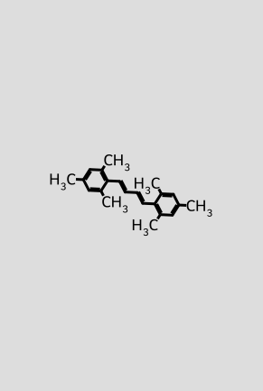 Cc1cc(C)c(/C=C/C=C/c2c(C)cc(C)cc2C)c(C)c1